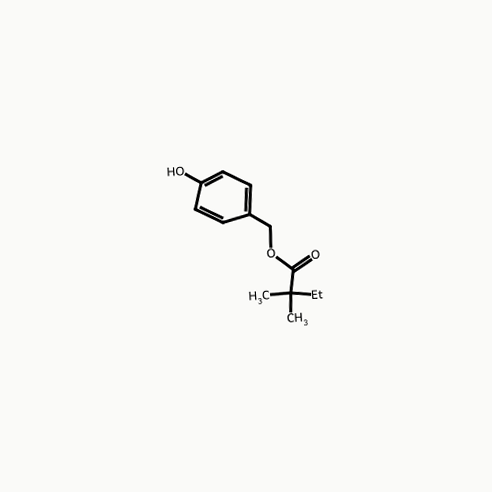 CCC(C)(C)C(=O)OCc1ccc(O)cc1